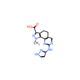 Cn1nc(C(=O)O)c2c1-c1nc(Nc3cc[nH]n3)ncc1CC2